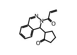 C=CC(=O)N1N=Cc2ccccc2C1C1CCCC1=O